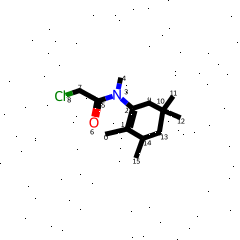 CC1=C(N(C)C(=O)CCl)CC(C)(C)CC1C